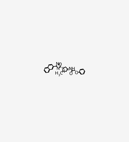 CN1C[C@@H](NC(=O)COc2ccccc2)C[C@H]1c1nc(-c2ccc3ccccc3c2)no1